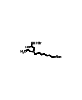 Br.C=CCN(CCCCCCCCCCCCCCCC)CC(O)O